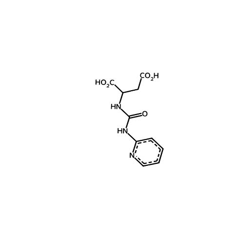 O=C(O)CC(NC(=O)Nc1ccccn1)C(=O)O